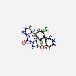 O=C(N1CC(Oc2ccncc2)C1)N1N=CC[C@H]1c1cc(F)cc(F)c1